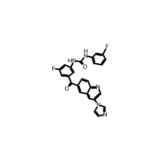 O=C(Nc1cccc(F)c1)Nc1cc(F)cc(C(=O)c2ccc3ncc(-n4ccnc4)cc3c2)c1